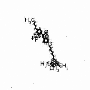 CCCCCc1ccc(-c2cc3ccc(OCCCCCCCC[Si](OCC)(OCC)OCC)cc3oc2=O)c(OC(F)(F)F)c1